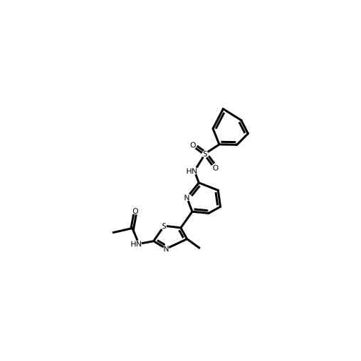 CC(=O)Nc1nc(C)c(-c2cccc(NS(=O)(=O)c3ccccc3)n2)s1